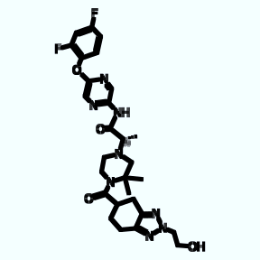 C[C@@H](C(=O)Nc1cnc(Oc2ccc(F)cc2F)cn1)N1CCN(C(=O)C2CCc3nn(CCO)nc3C2)C(C)(C)C1